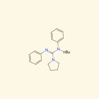 CCCCN(C(=Nc1ccccc1)N1CCCC1)c1ccccc1